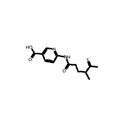 CC(=S)C(C)CCC(=O)Nc1ccc(C(=O)O)cn1